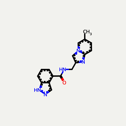 Cc1ccc2nc(CNC(=O)c3cccc4[nH]ncc34)cn2c1